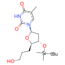 Cc1cn([C@H]2C[C@H](O[Si](C)(C)C(C)(C)C)[C@@H](CCCO)O2)c(=O)[nH]c1=O